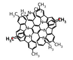 Cc1ccc2c(c1)c1cc(C)ccc1n2-c1c(-c2cc(C)nc(C)c2)c(-n2c3ccc(C)cc3c3cc(C)ccc32)c(-n2c3ccc(C)cc3c3cc(C)ccc32)c(-c2cccc(C)n2)c1-n1c2ccc(C)cc2c2cc(C)ccc21